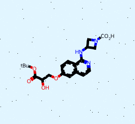 CC(C)(C)OC(=O)C(O)COc1ccc2c(NC3CN(C(=O)O)C3)nccc2c1